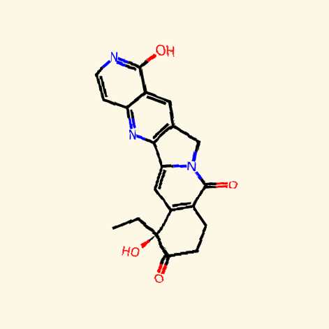 CC[C@@]1(O)C(=O)CCc2c1cc1n(c2=O)Cc2cc3c(O)nccc3nc2-1